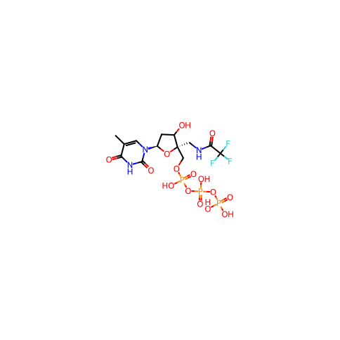 Cc1cn([C@H]2CC(O)[C@@](CNC(=O)C(F)(F)F)(COP(=O)(O)OP(=O)(O)OP(=O)(O)O)O2)c(=O)[nH]c1=O